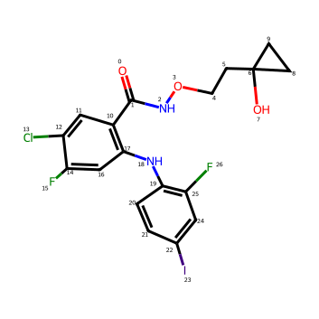 O=C(NOCCC1(O)CC1)c1cc(Cl)c(F)cc1Nc1ccc(I)cc1F